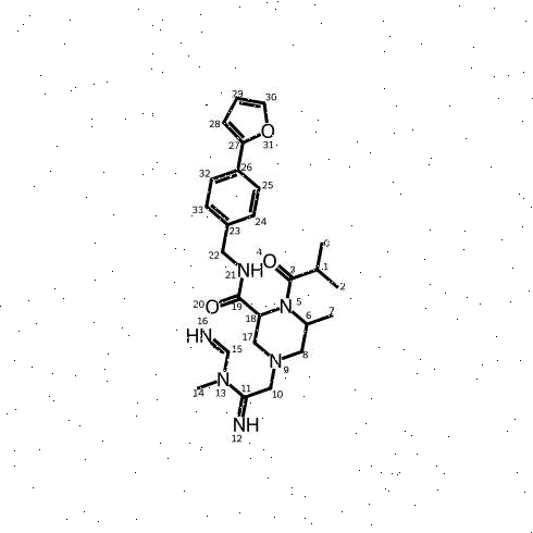 CC(C)C(=O)N1C(C)CN(CC(=N)N(C)C=N)CC1C(=O)NCc1ccc(-c2ccco2)cc1